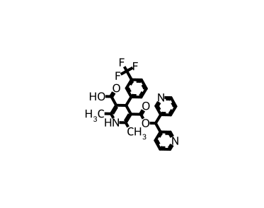 CC1=C(C(=O)O)C(c2cccc(C(F)(F)F)c2)C(C(=O)OC(c2cccnc2)c2cccnc2)=C(C)N1